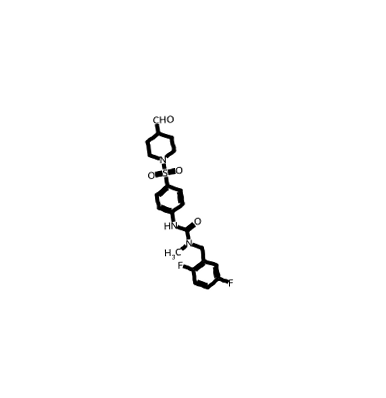 CN(Cc1cc(F)ccc1F)C(=O)Nc1ccc(S(=O)(=O)N2CCC(C=O)CC2)cc1